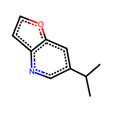 CC(C)c1cnc2ccoc2c1